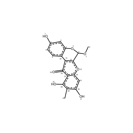 COC1Oc2cc(O)ccc2-c2c1oc1cc(O)c(C)c(O)c1c2=O